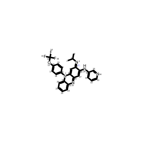 CC(C)/N=c1\cc2n(-c3ccc(OC(F)(F)F)cc3)c3ccccc3nc-2cc1Nc1cccnc1